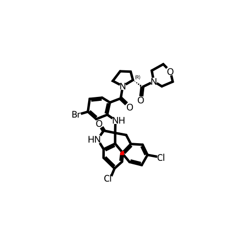 O=C([C@H]1CCCN1C(=O)c1ccc(Br)cc1NC1(Cc2cccc(Cl)c2)C(=O)Nc2cc(Cl)ccc21)N1CCOCC1